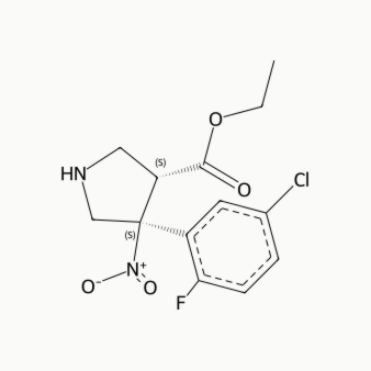 CCOC(=O)[C@H]1CNC[C@]1(c1cc(Cl)ccc1F)[N+](=O)[O-]